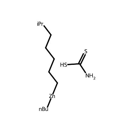 CCC[CH2][Zn][CH2]CCCCC(C)C.NC(=S)S